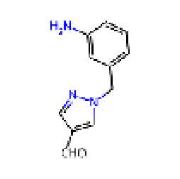 Nc1cccc(Cn2cc(C=O)cn2)c1